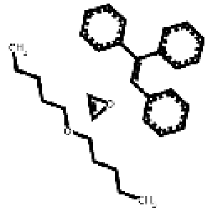 C(=C(c1ccccc1)c1ccccc1)c1ccccc1.C1=CO1.CCCCCOCCCCC